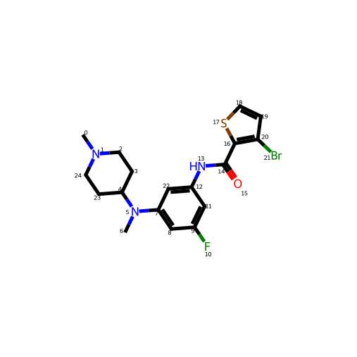 CN1CCC(N(C)c2cc(F)cc(NC(=O)c3sccc3Br)c2)CC1